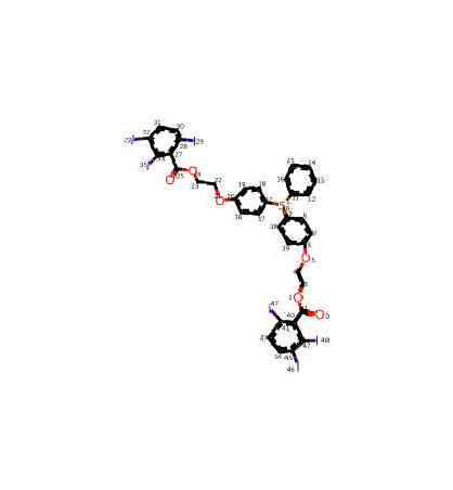 O=C(OCCOc1ccc([S+](c2ccccc2)c2ccc(OCCOC(=O)c3c(I)ccc(I)c3I)cc2)cc1)c1c(I)ccc(I)c1I